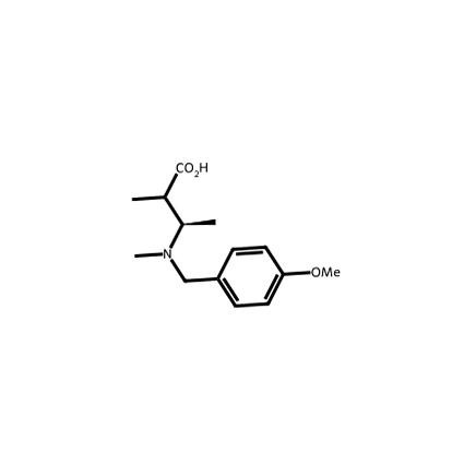 COc1ccc(CN(C)[C@H](C)C(C)C(=O)O)cc1